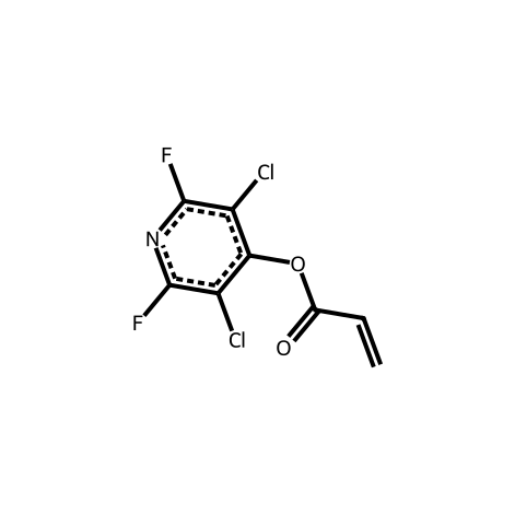 C=CC(=O)Oc1c(Cl)c(F)nc(F)c1Cl